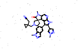 CN1C(=O)[C@]2(CCN(CC3(CC#N)CC3)C2)c2c1cnc1[nH]c(-c3cnn(C)c3)c(-c3ccc4c(cnn4C)c3)c21